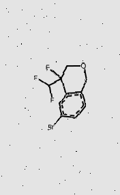 FC(F)C1(F)COCc2ccc(Br)cc21